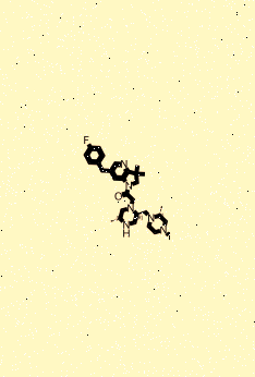 C[C@@H]1CN(CC(=O)N2CC(C)(C)c3ncc(Cc4ccc(F)cc4)cc32)[C@@H](CN2CCN(I)C[C@H]2C)CN1